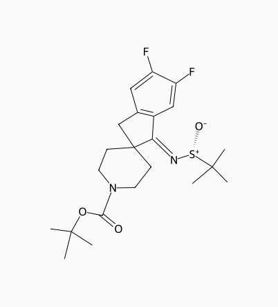 CC(C)(C)OC(=O)N1CCC2(CC1)Cc1cc(F)c(F)cc1/C2=N\[S@+]([O-])C(C)(C)C